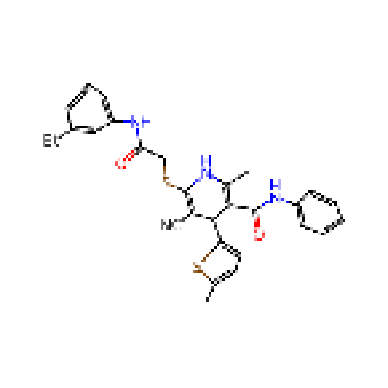 CCc1cccc(NC(=O)CSC2=C(C#N)C(c3ccc(C)s3)C(C(=O)Nc3ccccc3)=C(C)N2)c1